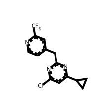 FC(F)(F)c1cc(Cc2nc(Cl)cc(C3CC3)n2)ccn1